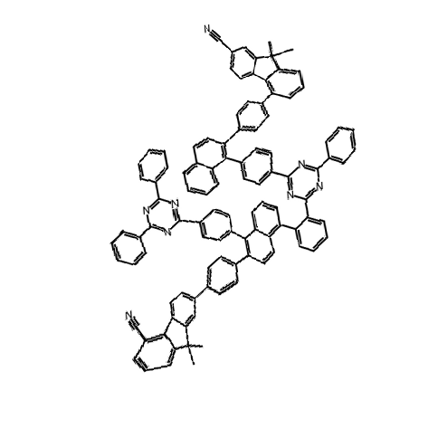 CC1(C)c2cc(-c3ccc(-c4ccc5c(-c6ccccc6-c6nc(-c7ccccc7)nc(-c7ccc(-c8c(-c9ccc(-c%10cccc%11c%10-c%10ccc(C#N)cc%10C%11(C)C)cc9)ccc9ccccc89)cc7)n6)cccc5c4-c4ccc(-c5nc(-c6ccccc6)nc(-c6ccccc6)n5)cc4)cc3)ccc2-c2c(C#N)cccc21